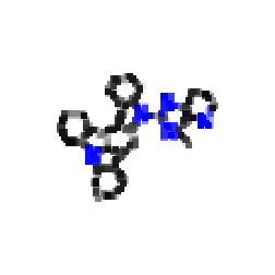 Cc1nc(-n2c3ccccc3c3c4c5ccccc5n5c6ccccc6c(cc32)c45)nc2cccnc12